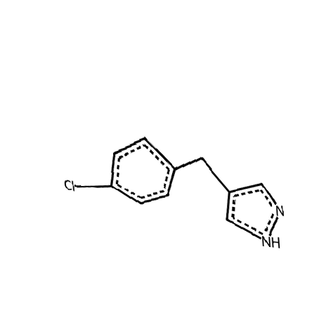 Clc1ccc(Cc2cn[nH]c2)cc1